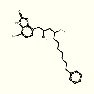 CC(CCCCOCCc1ccccc1)CC(N)Cc1ccc(O)c2[nH]c(=O)sc12